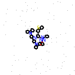 c1ccc(-c2nc(-c3ccccc3)nc(-c3cc(-c4ccc5sc6ccccc6c5c4)cc(-n4c5cc(-n6c7ccccc7c7ccccc76)ccc5c5ccc(-n6c7ccccc7c7ccccc76)cc54)c3)n2)cc1